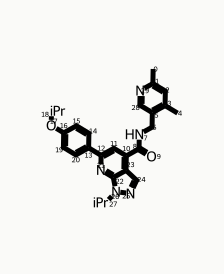 Cc1cc(C)c(CNC(=O)c2cc(-c3ccc(OC(C)C)cc3)nc3c2cnn3C(C)C)cn1